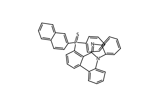 S=P(c1ccccc1)(c1ccc2ccccc2c1)c1cccc2c3ccccc3n3c4ccccc4nc3c12